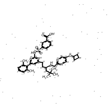 Cc1cccc(C)c1-c1cc(CCC(CC(C)(C)C)NCc2ncc(OC3CCC3)cn2)nc(NS(=O)(=O)c2cccc(C(=O)O)c2)n1